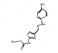 CC(C)(C)OC(=O)Nc1nc(CCNc2ccc([N+](=O)[O-])cn2)cs1